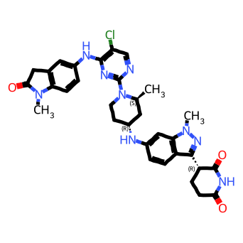 C[C@H]1C[C@H](Nc2ccc3c([C@H]4CCC(=O)NC4=O)nn(C)c3c2)CCN1c1ncc(Cl)c(Nc2ccc3c(c2)CC(=O)N3C)n1